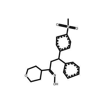 CS(=O)(=O)c1ccc(C(CC(=NO)C2CCOCC2)c2ccccc2)cc1